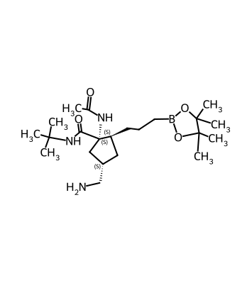 CC(=O)N[C@@]1(C(=O)NC(C)(C)C)C[C@@H](CN)C[C@@H]1CCCB1OC(C)(C)C(C)(C)O1